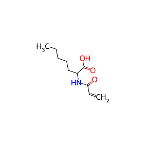 C=CC(=O)NC(CCCCC)C(=O)O